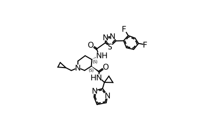 O=C(N[C@H]1CCN(CC2CC2)C[C@@H]1C(=O)NC1(c2ncccn2)CC1)c1nnc(-c2ccc(F)cc2F)s1